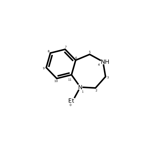 CCN1CCNCc2ccccc21